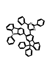 c1ccc(-c2cc(-c3cc4c(cc3-c3ccc5c6ccccc6n(-c6ccccc6)c5c3)C(c3ccccc3)(c3ccccc3)c3ccccc3-4)nc(-c3ccccc3)n2)cc1